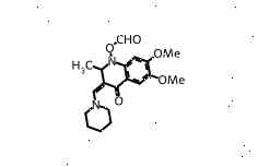 COc1cc2c(cc1OC)N(OC=O)C(C)C(=CN1CCCCC1)C2=O